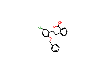 O=C(O)c1ccccc1CCc1cc(Cl)ccc1OCc1ccccc1